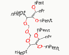 CCCCCCCC(OCOCOC(CCCCCCC)C(OCCCCC)=C(CCC)OCCCCC)C(OCCCCC)=C(CCC)OCCCCC